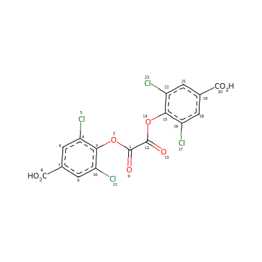 O=C(Oc1c(Cl)cc(C(=O)O)cc1Cl)C(=O)Oc1c(Cl)cc(C(=O)O)cc1Cl